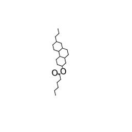 CCCCCC(=O)OC1CCC2C(CCC3CC(CCC)CCC32)C1